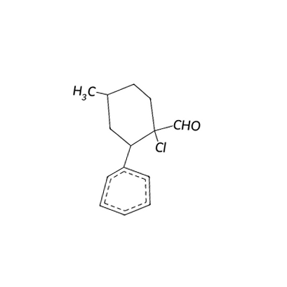 CC1CCC(Cl)(C=O)C(c2ccccc2)C1